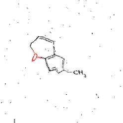 Cc1ccc2c(c1)C=CCO2